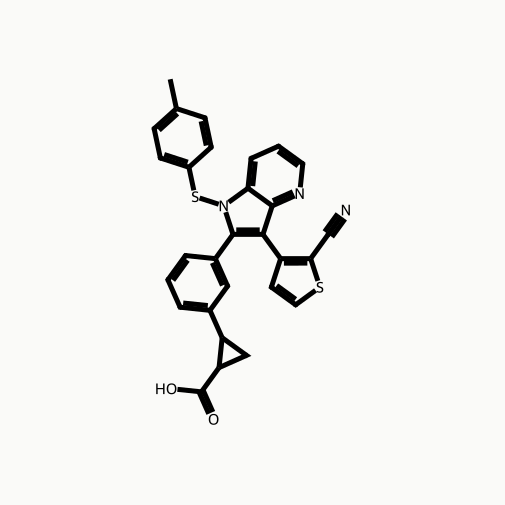 Cc1ccc(Sn2c(-c3cccc(C4CC4C(=O)O)c3)c(-c3ccsc3C#N)c3ncccc32)cc1